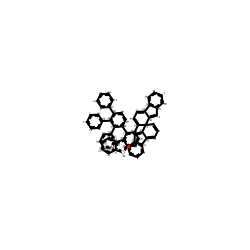 C1=CC2(C3=Cc4ccccc4C3=C1)C1=Cc3ccccc3C1=CC=C2c1ccc2oc3ccccc3c2c1-c1ccc(-c2ccccc2)c(-c2ccccc2)c1-c1ccnnn1